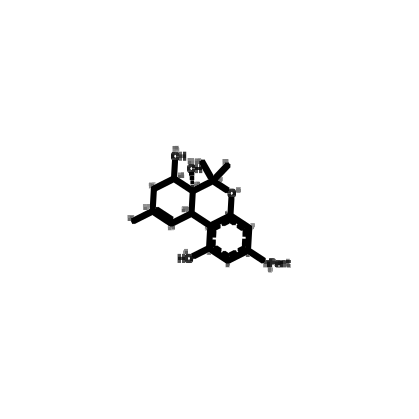 CCCCCc1cc(O)c2c(c1)OC(C)(C)[C@]1(O)C(O)CC(C)=CC21